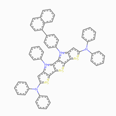 c1ccc(N(c2ccccc2)c2cc3c(s2)c2sc4c5sc(N(c6ccccc6)c6ccccc6)cc5n(-c5ccc(-c6cccc7ccccc67)cc5)c4c2n3-c2ccccc2)cc1